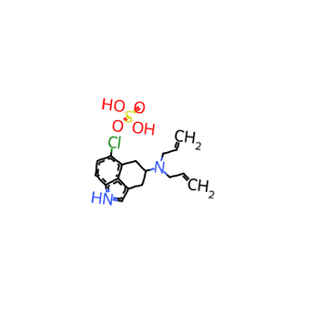 C=CCN(CC=C)C1Cc2c[nH]c3ccc(Cl)c(c23)C1.O=S(=O)(O)O